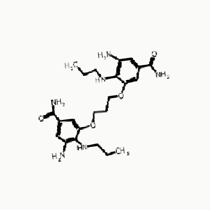 CCCNc1c(N)cc(C(N)=O)cc1OCCCOc1cc(C(N)=O)cc(N)c1NCCC